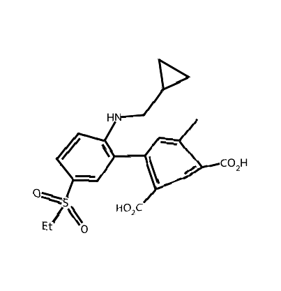 CCS(=O)(=O)c1ccc(NCC2CC2)c(-c2cc(C)c(C(=O)O)cc2C(=O)O)c1